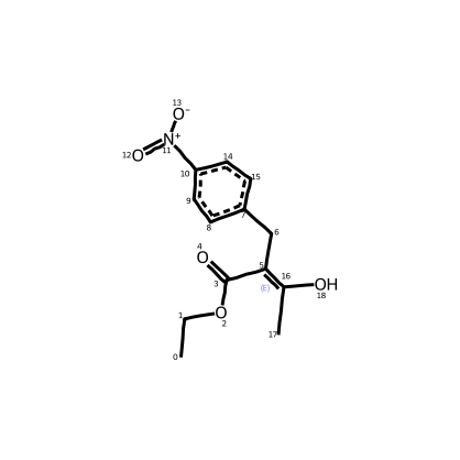 CCOC(=O)/C(Cc1ccc([N+](=O)[O-])cc1)=C(\C)O